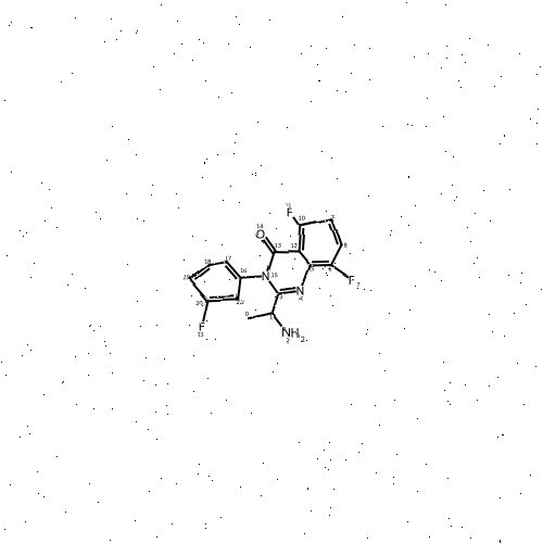 CC(N)c1nc2c(F)ccc(F)c2c(=O)n1-c1cccc(F)c1